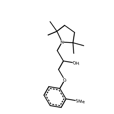 CSc1ccccc1OCC(O)CN1C(C)(C)CCC1(C)C